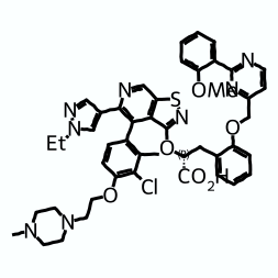 CCn1cc(-c2ncc3snc(O[C@H](Cc4ccccc4OCc4ccnc(-c5ccccc5OC)n4)C(=O)O)c3c2-c2ccc(OCCN3CCN(C)CC3)c(Cl)c2C)cn1